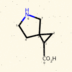 O=C(O)[C]1CC12CCNC2